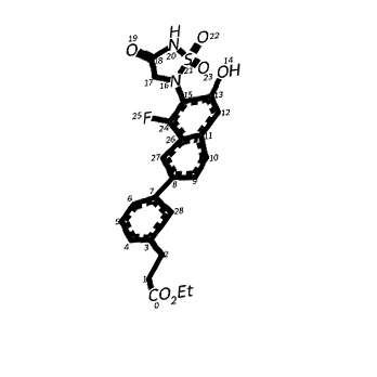 CCOC(=O)CCc1cccc(-c2ccc3cc(O)c(N4CC(=O)NS4(=O)=O)c(F)c3c2)c1